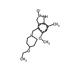 CCOC1CCN(Cc2c(OC)cc(C)c3c2C[S+]([O-])N3)CC1